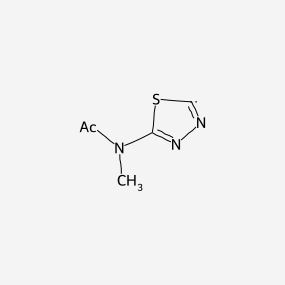 CC(=O)N(C)c1nn[c]s1